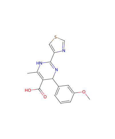 COc1cccc(C2N=C(c3cscn3)NC(C)=C2C(=O)O)c1